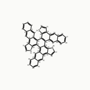 c1ccc2cc3c(cc2c1)c1ccsc1c1c3c2c3sccc3c3cc4ccccc4cc3c2c2c3sccc3c3cc4ccccc4cc3c12